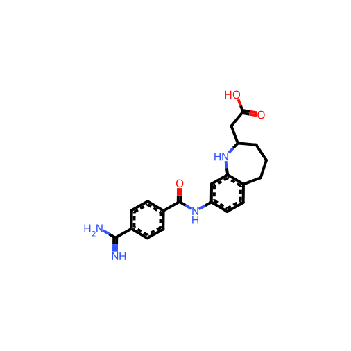 N=C(N)c1ccc(C(=O)Nc2ccc3c(c2)NC(CC(=O)O)CCC3)cc1